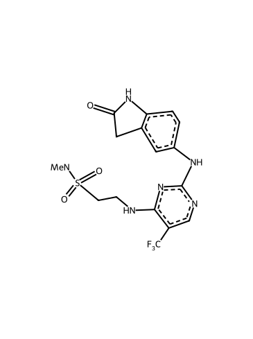 CNS(=O)(=O)CCNc1nc(Nc2ccc3c(c2)CC(=O)N3)ncc1C(F)(F)F